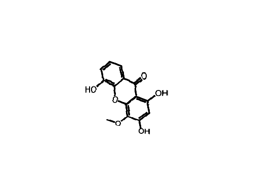 COc1c(O)cc(O)c2c(=O)c3cccc(O)c3oc12